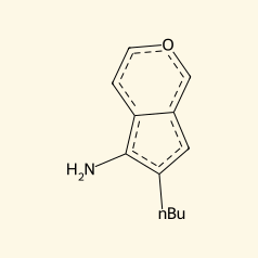 CCCCc1cc2coccc-2c1N